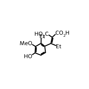 CCC(=C(C(=O)O)C(=O)O)c1ccc(O)c(OC)c1CC